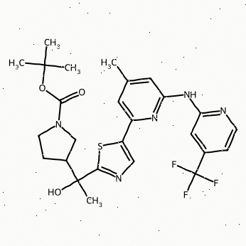 Cc1cc(Nc2cc(C(F)(F)F)ccn2)nc(-c2cnc(C(C)(O)C3CCN(C(=O)OC(C)(C)C)C3)s2)c1